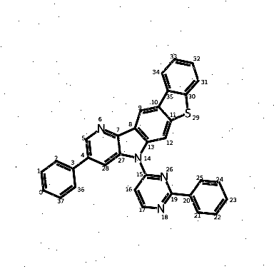 c1ccc(-c2cnc3c4cc5c(cc4n(-c4ccnc(-c6ccccc6)n4)c3c2)sc2ccccc25)cc1